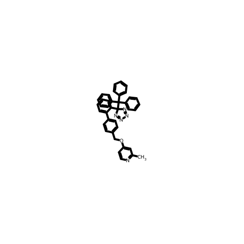 Cc1cc(OCc2ccc(-c3ccccc3C3(C(c4ccccc4)(c4ccccc4)c4ccccc4)N=NN=N3)cc2)ccn1